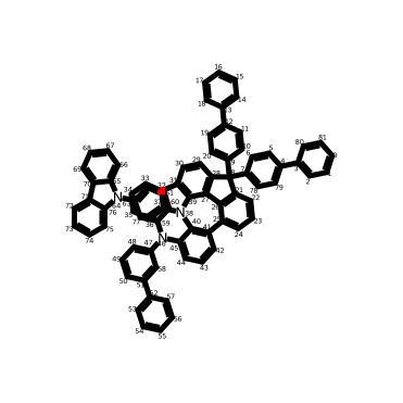 c1ccc(-c2ccc(C3(c4ccc(-c5ccccc5)cc4)c4cccc5c4-c4c3ccc3c6ccccc6n(c43)-c3c-5cccc3N(c3cccc(-c4ccccc4)c3)c3cccc(-n4c5ccccc5c5ccccc54)c3)cc2)cc1